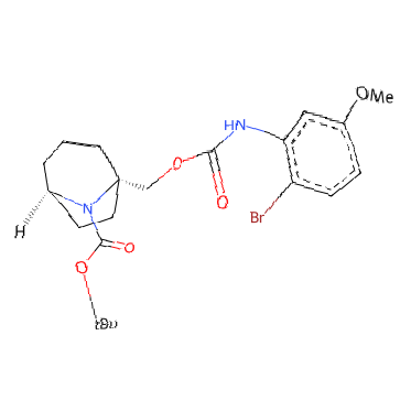 COc1ccc(Br)c(NC(=O)OC[C@]23CCC[C@H](CC2)N3C(=O)OC(C)(C)C)c1